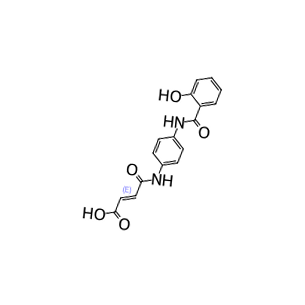 O=C(O)/C=C/C(=O)Nc1ccc(NC(=O)c2ccccc2O)cc1